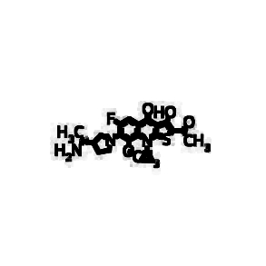 COc1c(N2CCC([C@H](C)N)C2)c(F)cc2c(=O)c3c(O)c(C(C)=O)sc3n(C3CC3)c12